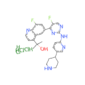 CC(C)(O)c1ccnc2c(F)cc(-c3nc(Nc4ccc(C5CCNCC5)cn4)ncc3F)cc12.Cl.Cl.Cl